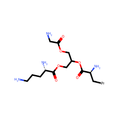 CC(C)C[C@H](N)C(=O)OC(COC(=O)CN)COC(=O)[C@@H](N)CCCN